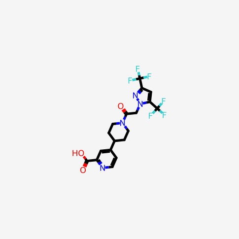 O=C(O)c1cc(C2CCN(C(=O)Cn3nc(C(F)(F)F)cc3C(F)(F)F)CC2)ccn1